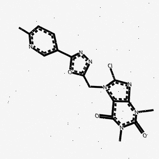 Cc1ccc(-c2nnc(Cn3c(Cl)nc4c3c(=O)n(C)c(=O)n4C)o2)cn1